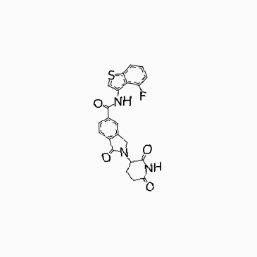 O=C1CCC(N2Cc3cc(C(=O)Nc4csc5cccc(F)c45)ccc3C2=O)C(=O)N1